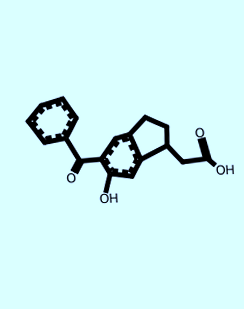 O=C(O)CC1CCc2cc(C(=O)c3ccccc3)c(O)cc21